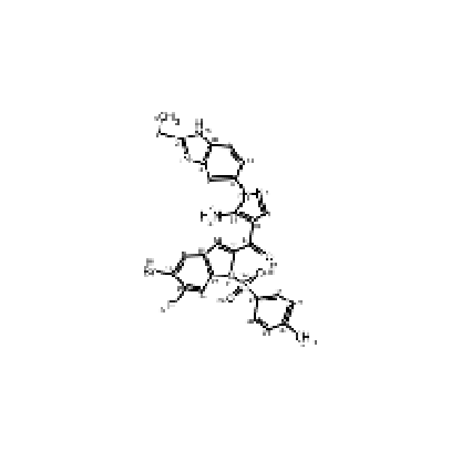 CCc1nc2cc(-n3ncc(C(=O)c4cc5cc(Br)c(F)cc5n4S(=O)(=O)c4ccc(C)cc4)c3N)ccc2[nH]1